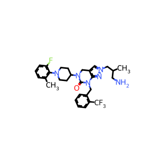 Cc1cccc(F)c1N1CCC(N2Cc3cn(CC(C)CN)nc3N(Cc3ccccc3C(F)(F)F)C2=O)CC1